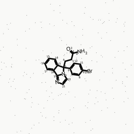 NC(=O)CCC1(c2ccc(Br)cc2)c2ccccc2-c2nccn21